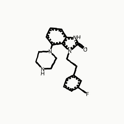 O=c1[nH]c2cccc(N3CCNCC3)c2n1CCc1cccc(F)c1